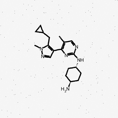 Cc1cnc(N[C@H]2CC[C@H](N)CC2)nc1-c1cnn(C)c1CC1CC1